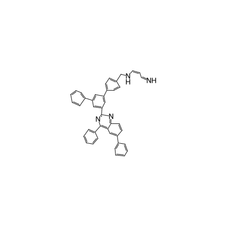 N=C/C=C\NCc1ccc(-c2cc(-c3ccccc3)cc(-c3nc(-c4ccccc4)c4cc(-c5ccccc5)ccc4n3)c2)cc1